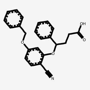 N#Cc1ccc(OCc2ccccc2)cc1OC(CCC(=O)O)c1ccccc1